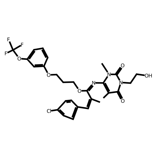 CC(=C/c1ccc(Cl)cc1)/C(=N\c1c(C)c(=O)n(CCO)c(=O)n1C)OCCCOc1cccc(OC(F)(F)F)c1